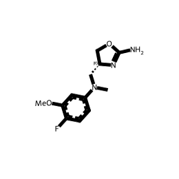 COc1cc(N(C)C[C@@H]2COC(N)=N2)ccc1F